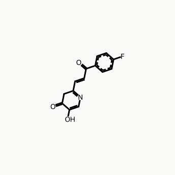 O=C1CC(/C=C/C(=O)c2ccc(F)cc2)=NC=C1O